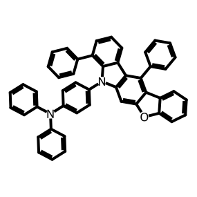 c1ccc(-c2c3c(cc4c2c2cccc(-c5ccccc5)c2n4-c2ccc(N(c4ccccc4)c4ccccc4)cc2)oc2ccccc23)cc1